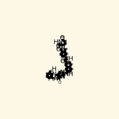 Cc1cccc(C)c1Nc1nn(C)c2nc(Nc3ccc4c(c3)CN(C(=O)Nc3ccc5c(c3)CN(C3CCC(=O)NC3=O)C5=O)CC4)ncc12